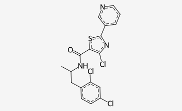 CC(Cc1ccc(Cl)cc1Cl)NC(=O)c1sc(-c2cccnc2)nc1Cl